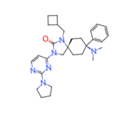 CN(C)[C@]1(c2ccccc2)CC[C@@]2(CC1)CN(c1ccnc(N3CCCC3)n1)C(=O)N2CC1CCC1